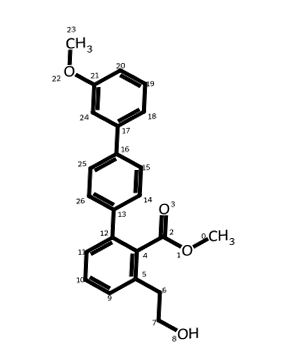 COC(=O)c1c(CCO)cccc1-c1ccc(-c2cccc(OC)c2)cc1